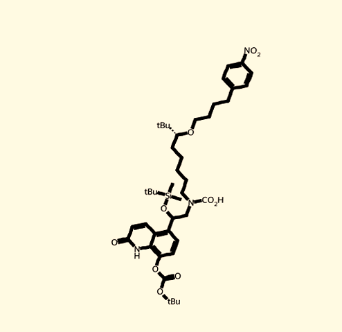 CC(C)(C)OC(=O)Oc1ccc(C(CN(CCCCC[C@@H](OCCCCc2ccc([N+](=O)[O-])cc2)C(C)(C)C)C(=O)O)O[Si](C)(C)C(C)(C)C)c2ccc(=O)[nH]c12